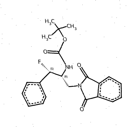 CC(C)(C)OC(=O)N[C@H](CN1C(=O)c2ccccc2C1=O)[C@@H](F)c1ccccc1